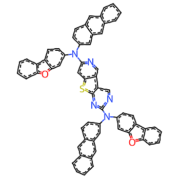 c1ccc2cc3cc(N(c4ccc5c(c4)oc4ccccc45)c4cc5sc6nc(N(c7ccc8cc9ccccc9cc8c7)c7ccc8c(c7)oc7ccccc78)ncc6c5cn4)ccc3cc2c1